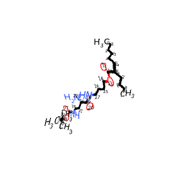 CCCCCCC(CCCC)C(=O)OCCCCNC(=O)[C@@H](N)CCNC(=O)OC(C)(C)C